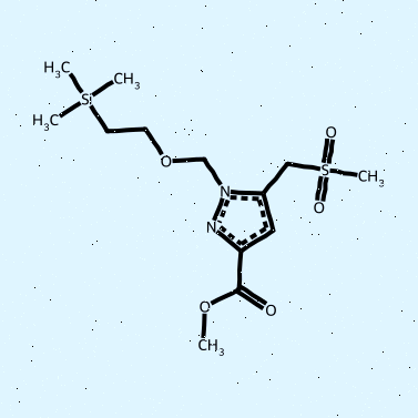 COC(=O)c1cc(CS(C)(=O)=O)n(COCC[Si](C)(C)C)n1